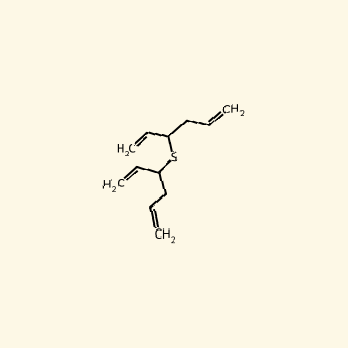 C=CCC(C=C)SC(C=C)CC=C